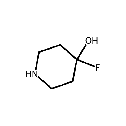 OC1(F)CCNCC1